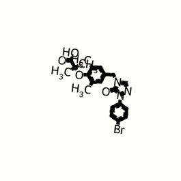 Cc1cc(Cn2cnn(-c3ccc(Br)cc3)c2=O)cc(C)c1OC(C)(C)C(=O)O